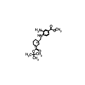 COC(=O)c1ccc(NC[C@@H]2CCCN(C(=O)OC(C)(C)C)C2)c(N)c1